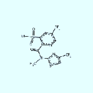 CCS(=O)(=O)c1cc(C(F)(F)F)cnc1C(=O)N(C)c1nc(C(F)(F)F)cs1